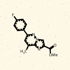 COC(=O)c1cn2nc(-c3ccc(F)cc3)cc(C)c2n1